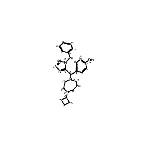 Oc1ccc(C(c2nnnn2Cc2ccccc2)N2CCCN(C3CCC3)CC2)cn1